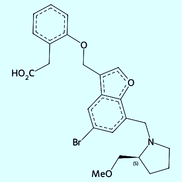 COC[C@@H]1CCCN1Cc1cc(Br)cc2c(COc3ccccc3CC(=O)O)coc12